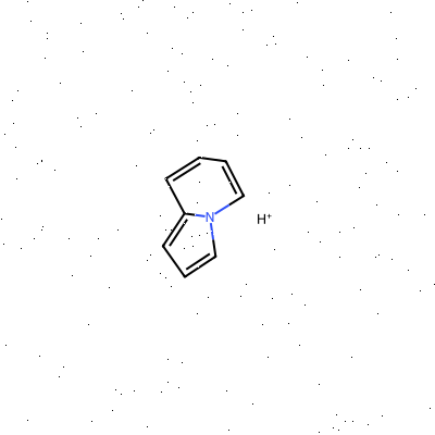 [H+].c1ccn2cccc2c1